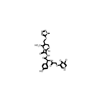 Cn1nnnc1SCC1=C(C(=O)O)N2C(=O)C(NC(=O)C(NC(=O)COc3c[nH]cc(Cl)c3=O)c3ccc(O)cc3)[C@@H]2SC1